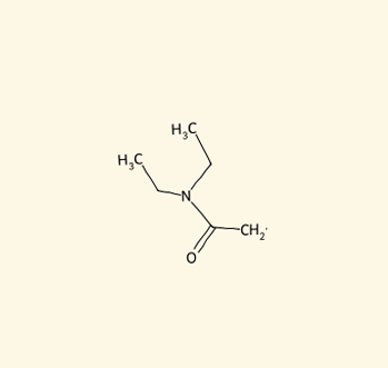 [CH2]C(=O)N(CC)CC